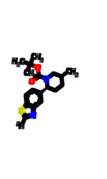 [2H]c1nc2cc([C@H]3CC[C@H](C)CN3C(=O)OC(C)(C)C)ccc2s1